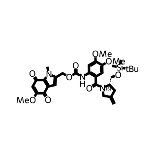 C=C1C[C@@H](CO[Si](C)(C)C(C)(C)C)N(C(=O)c2cc(OC)c(OC)cc2NC(=O)OCc2cc3c(n2C)C(=O)C=C(OC)C3=O)C1